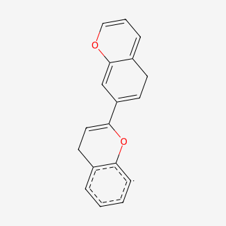 [c]1cccc2c1OC(C1=CCC3=CC=COC3=C1)=CC2